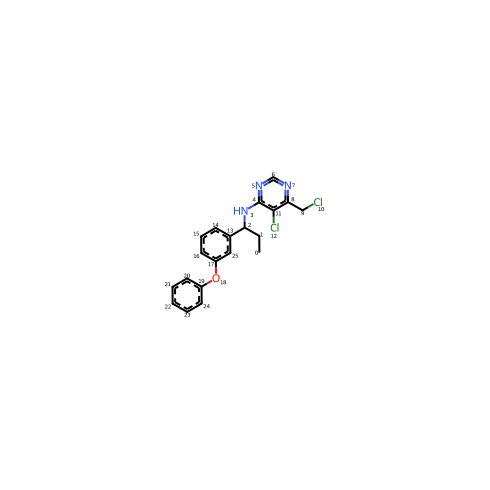 CCC(Nc1ncnc(CCl)c1Cl)c1cccc(Oc2ccccc2)c1